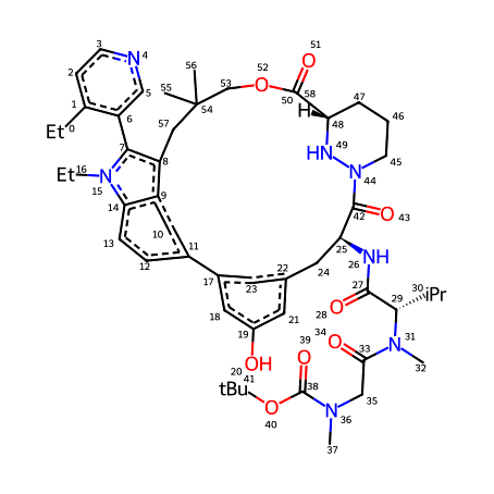 CCc1ccncc1-c1c2c3cc(ccc3n1CC)-c1cc(O)cc(c1)C[C@H](NC(=O)[C@H](C(C)C)N(C)C(=O)CN(C)C(=O)OC(C)(C)C)C(=O)N1CCC[C@H](N1)C(=O)OCC(C)(C)C2